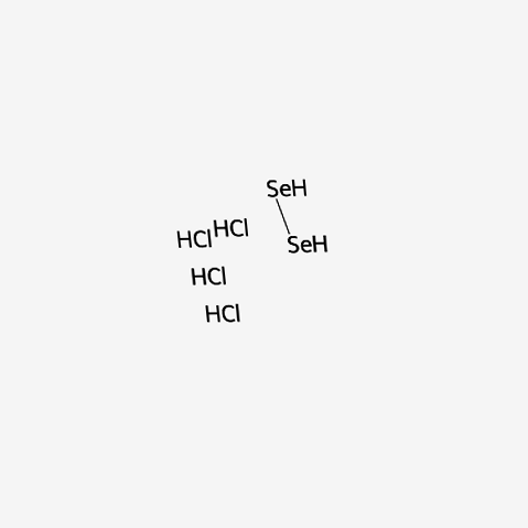 Cl.Cl.Cl.Cl.[SeH][SeH]